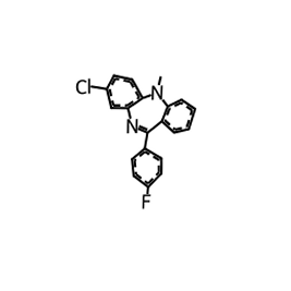 CN1c2ccc(Cl)cc2N=C(c2ccc(F)cc2)c2ccccc21